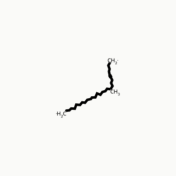 [CH2]CCCCC#CCCCC(C)CCCCCCCCCCCCCCCCC[CH2]